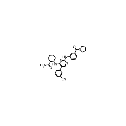 N#Cc1cccc(-c2cnc(Nc3cccc(C(=O)N4CCCC4)c3)nc2N[C@@H]2CCCC[C@@H]2C(N)=O)c1